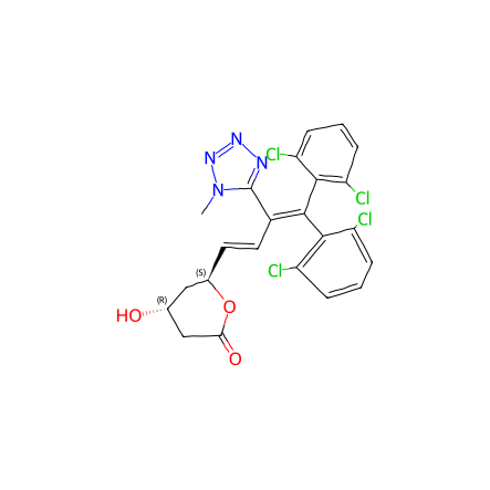 Cn1nnnc1C(C=C[C@@H]1C[C@@H](O)CC(=O)O1)=C(c1c(Cl)cccc1Cl)c1c(Cl)cccc1Cl